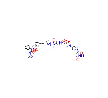 O=C1CCC(Nc2ccc(N3CCC(O)(CC(=O)N4CCC(NC(=O)c5ccc(C#Cc6ccc7c(c6)S(=O)(=O)N(C(C(=O)Nc6nccs6)c6ccccc6)C7)cn5)CC4)CC3)cc2)C(=O)N1